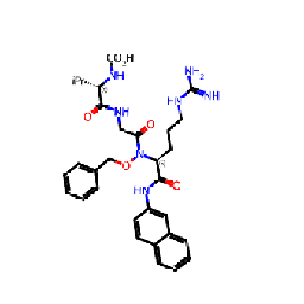 CC(C)[C@H](NC(=O)O)C(=O)NCC(=O)N(OCc1ccccc1)[C@@H](CCCNC(=N)N)C(=O)Nc1ccc2ccccc2c1